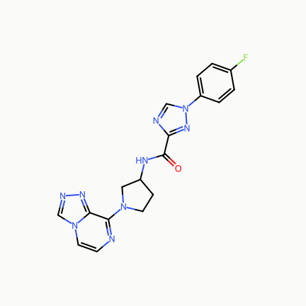 O=C(NC1CCN(c2nccn3cnnc23)C1)c1ncn(-c2ccc(F)cc2)n1